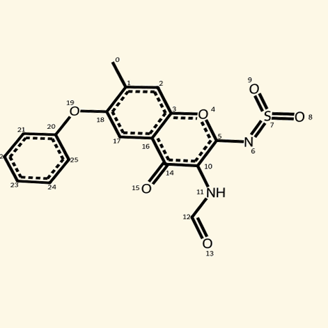 Cc1cc2oc(N=S(=O)=O)c(NC=O)c(=O)c2cc1Oc1ccccc1